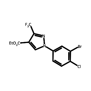 CCOC(=O)c1cn(-c2ccc(Cl)c(Br)c2)nc1C(F)(F)F